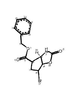 O=C1N[C@@H]2C(C(=O)OCc3ccccc3)CC(Br)C2O1